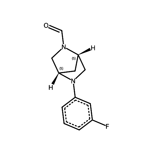 O=CN1C[C@@H]2C[C@H]1CN2c1cccc(F)c1